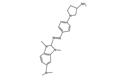 CN(C)c1ccc2c(c1)N(C)C(N=Nc1ccc(N3CCC(N)C3)cc1)N2C